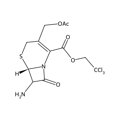 CC(=O)OCC1=C(C(=O)OCC(Cl)(Cl)Cl)N2C(=O)C(N)[C@@H]2SC1